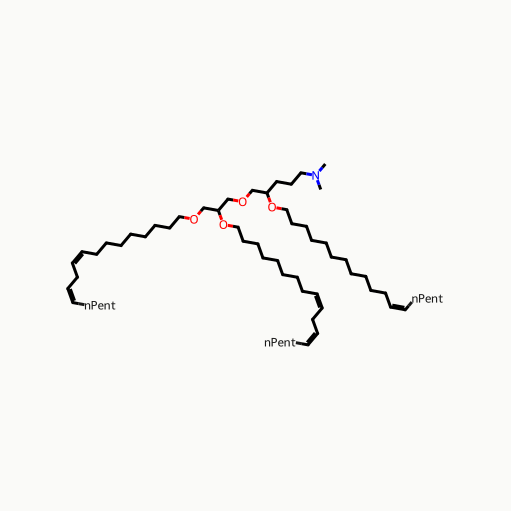 CCCCC/C=C\C/C=C\CCCCCCCCOCC(COCC(CCCN(C)C)OCCCCCCCCCCC/C=C\CCCCC)OCCCCCCCC/C=C\C/C=C\CCCCC